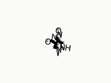 O=Nc1nc(=O)c2cn(I)[nH]cc1-2